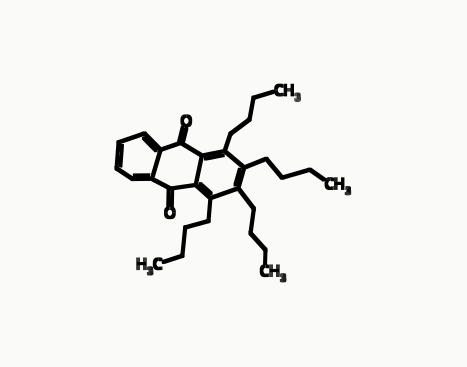 CCCCc1c(CCCC)c(CCCC)c2c(c1CCCC)C(=O)c1ccccc1C2=O